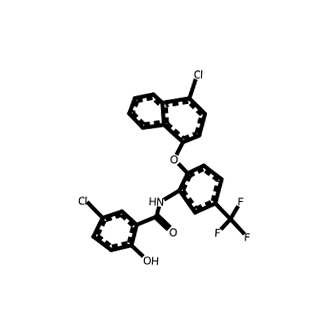 O=C(Nc1cc(C(F)(F)F)ccc1Oc1ccc(Cl)c2ccccc12)c1cc(Cl)ccc1O